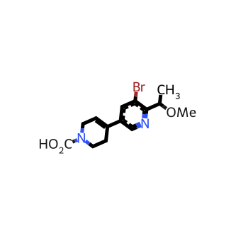 COC(C)c1ncc(C2=CCN(C(=O)O)CC2)cc1Br